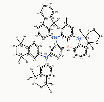 Cc1cc2c3c(c1)N1c4c(cccc4C4(C)CCCCC14C)B3c1ccc(N(c3ccc4c(c3)C(C)(C)CCC4(C)C)c3ccc4c(c3)C(C)(C)CCC4(C)C)cc1N2c1cccc2c1C(C)(C)c1ccccc1-2